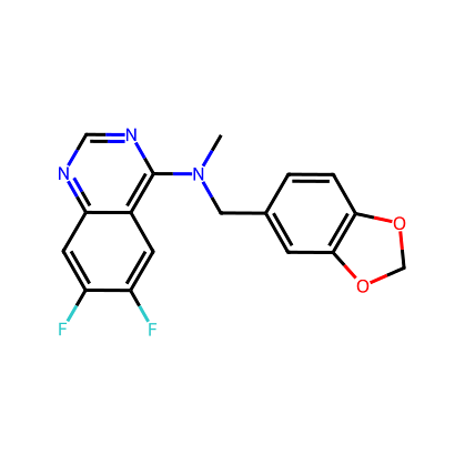 CN(Cc1ccc2c(c1)OCO2)c1ncnc2cc(F)c(F)cc12